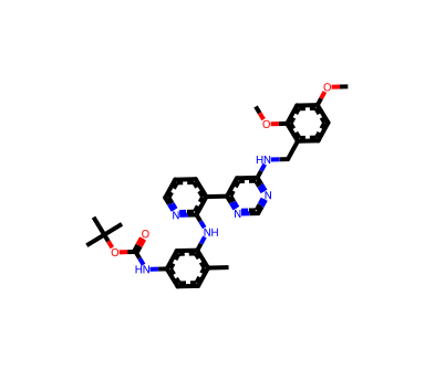 COc1ccc(CNc2cc(-c3cccnc3Nc3cc(NC(=O)OC(C)(C)C)ccc3C)ncn2)c(OC)c1